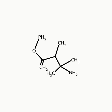 C=C(OP)C(C)C(C)(C)N